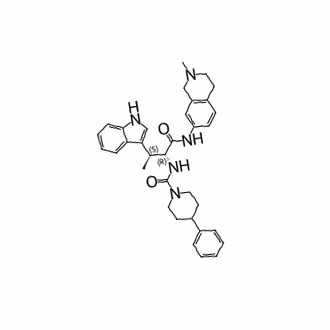 C[C@@H](c1c[nH]c2ccccc12)[C@@H](NC(=O)N1CCC(c2ccccc2)CC1)C(=O)Nc1ccc2c(c1)CN(C)CC2